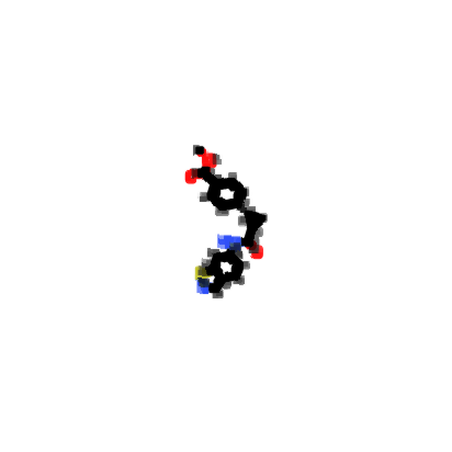 COC(=O)c1ccc([C@@H]2C=C2C(=O)Nc2ccc3cnsc3c2)cc1